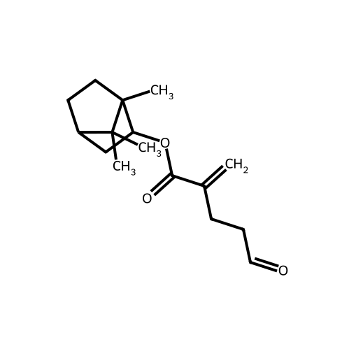 C=C(CCC=O)C(=O)OC1CC2CCC1(C)C2(C)C